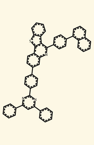 c1ccc(-c2cc(-c3ccccc3)nc(-c3ccc(-c4ccc5c(c4)nc(-c4ccc(-c6cccc7ccccc67)cc4)c4c6ccccc6sc54)cc3)n2)cc1